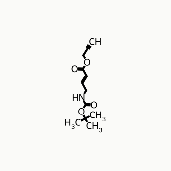 C#CCOC(=O)/C=C/CNC(=O)OC(C)(C)C